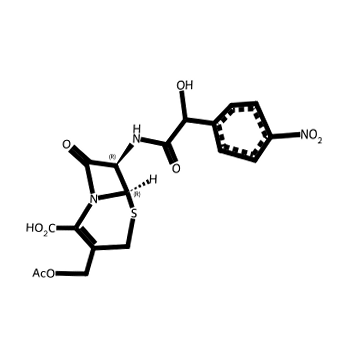 CC(=O)OCC1=C(C(=O)O)N2C(=O)[C@@H](NC(=O)C(O)c3ccc([N+](=O)[O-])cc3)[C@H]2SC1